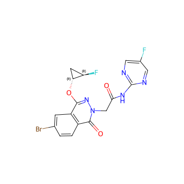 O=C(Cn1nc(O[C@@H]2C[C@H]2F)c2cc(Br)ccc2c1=O)Nc1ncc(F)cn1